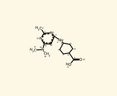 Cc1nc(NC2CCC(C(=O)O)CC2)cc(N(C)C)n1